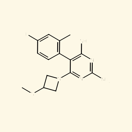 CNC1CN(c2nc(N)nc(N)c2-c2ccc(F)cc2C)C1